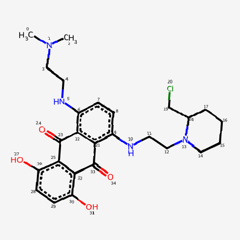 CN(C)CCNc1ccc(NCCN2CCCCC2CCl)c2c1C(=O)c1c(O)ccc(O)c1C2=O